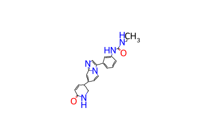 CCNC(=O)Nc1cccc(-c2cnc3cc(C4C=CC(=O)NC4)ccn23)c1